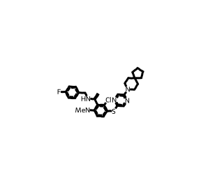 C=C(NCc1ccc(F)cc1)c1c(NC)ccc(Sc2cnc(N3CCC4(CCCC4)CC3)cn2)c1Cl